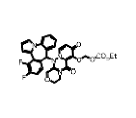 CCOC(=O)OCOc1c2n(ccc1=O)N(C1c3ccccc3-n3cccc3-c3c1ccc(F)c3F)C1COCCN1C2=O